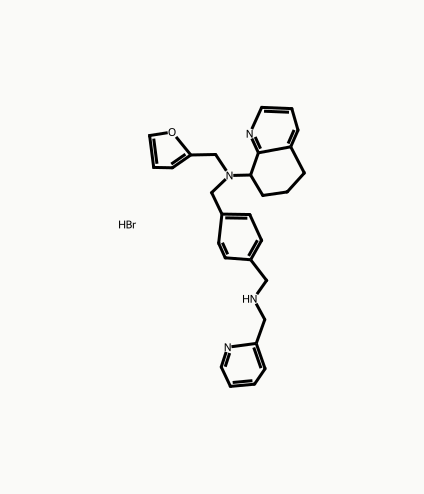 Br.c1ccc(CNCc2ccc(CN(Cc3ccco3)C3CCCc4cccnc43)cc2)nc1